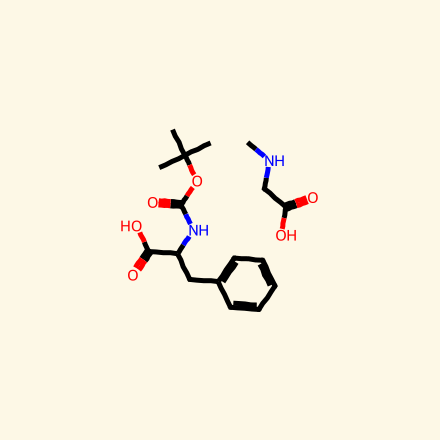 CC(C)(C)OC(=O)NC(Cc1ccccc1)C(=O)O.CNCC(=O)O